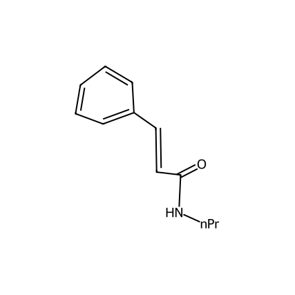 [CH2]CCNC(=O)C=Cc1ccccc1